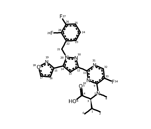 CC(C)[C@@H](C(=O)O)N(C)c1nc(-c2cc(-c3ccon3)n(Cc3cccc(F)c3F)n2)ncc1F